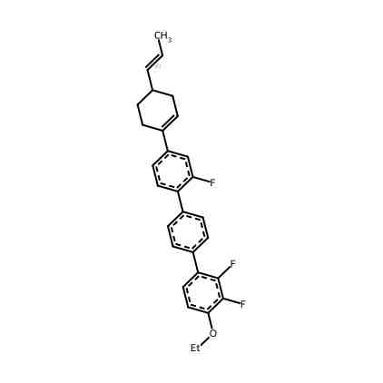 C/C=C/C1CC=C(c2ccc(-c3ccc(-c4ccc(OCC)c(F)c4F)cc3)c(F)c2)CC1